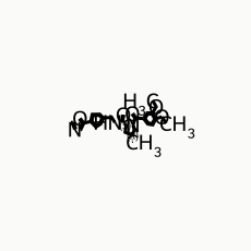 COc1ccc(C(=O)N2C[C@H](C)C[C@H]2C(=O)NCc2ccc(-c3cnco3)cc2)cc1OC